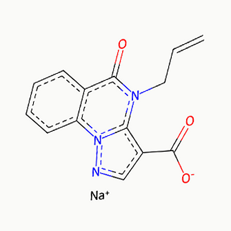 C=CCn1c(=O)c2ccccc2n2ncc(C(=O)[O-])c12.[Na+]